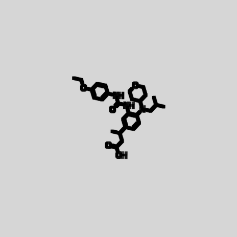 CCOc1ccc(NC(=O)Nc2cc(C(C)CC(=O)O)ccc2N(CC(C)C)C2CCOCC2)cc1